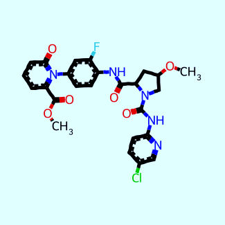 COC(=O)c1cccc(=O)n1-c1ccc(NC(=O)C2CC(OC)CN2C(=O)Nc2ccc(Cl)cn2)c(F)c1